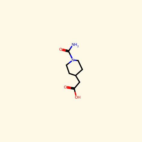 NC(=O)N1CCC(CC(=O)O)CC1